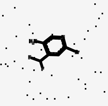 Nc1cnc(Br)cc1C(F)F